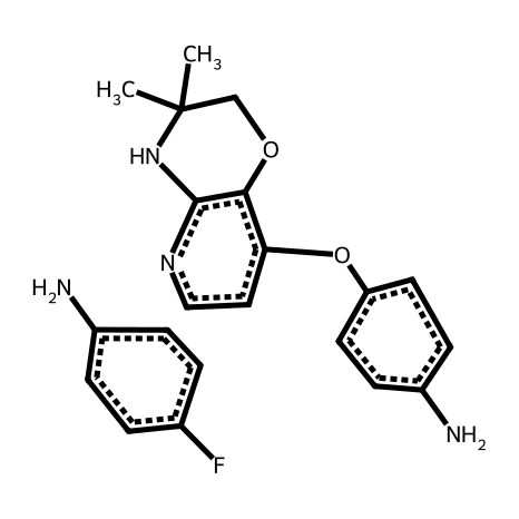 CC1(C)COc2c(Oc3ccc(N)cc3)ccnc2N1.Nc1ccc(F)cc1